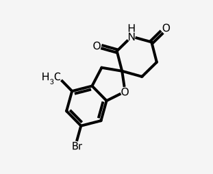 Cc1cc(Br)cc2c1CC1(CCC(=O)NC1=O)O2